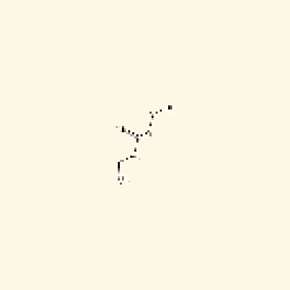 CCOC(=S)CCO